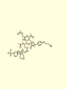 C#CCCOc1ccc(CO[C@]2(C(=O)OC)C[C@H](OC(C)=O)[C@@H](NC(=O)COC(C)=O)[C@H]([C@H](OC(C)=O)[C@@H](CNC(=O)C3(c4ccc(C(F)(F)F)cc4)CCOCC3)OC(C)=O)O2)cc1